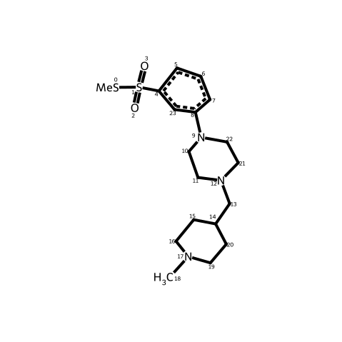 CSS(=O)(=O)c1cccc(N2CCN(CC3CCN(C)CC3)CC2)c1